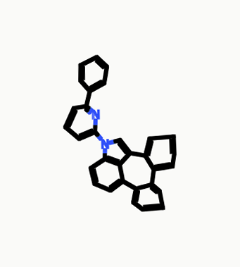 c1ccc(-c2cccc(-n3cc4c5c(cccc53)-c3ccccc3-c3ccccc3-4)n2)cc1